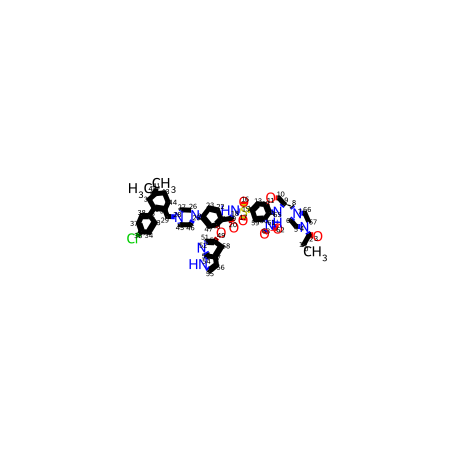 CCC(=O)N1CCN(C[C@H]2COc3cc(S(=O)(=O)NC(=O)c4ccc(N5CCN(CC6=C(c7ccc(Cl)cc7)CC(C)(C)CC6)CC5)cc4Oc4cnc5[nH]ccc5c4)cc([N+](=O)[O-])c3N2)CC1